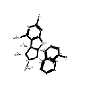 COc1nc(Cl)cc2c1[C@]1(O)[C@@H](C#N)[C@H](C(=O)O)[C@@H](c3ccccc3)[C@]1(c1ccc(Br)cc1)O2